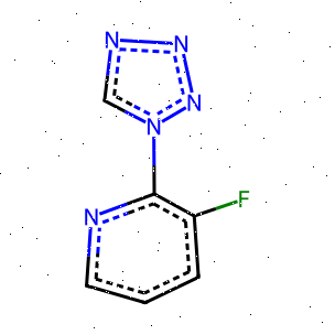 Fc1cccnc1-n1cnnn1